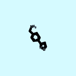 NCc1ccc(-c2[c]con2)cc1